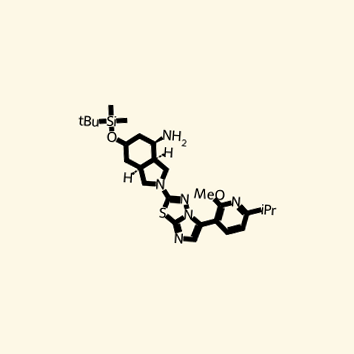 COc1nc(C(C)C)ccc1-c1cnc2sc(N3C[C@H]4CC(O[Si](C)(C)C(C)(C)C)C[C@@H](N)[C@H]4C3)nn12